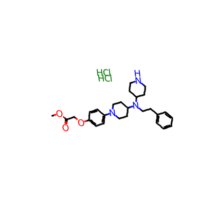 COC(=O)COc1ccc(N2CCC(N(CCc3ccccc3)C3CCNCC3)CC2)cc1.Cl.Cl